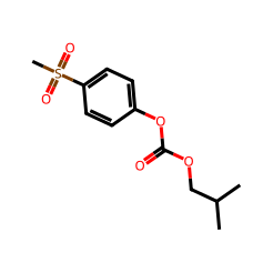 CC(C)COC(=O)Oc1ccc(S(C)(=O)=O)cc1